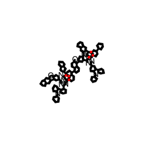 c1ccc(-c2ccc(-c3nc(-c4ccc5c(c4)c4ccccc4n5-c4ccccc4)nc(-c4cc5c(cc4-n4c6ccccc6c6cc7ccccc7cc64)oc4ccc6c(-c7cccc8c(-c9nc(-c%10cc%11c(cc%10-n%10c%12ccccc%12c%12cc%13ccccc%13cc%12%10)oc%10cc%12ccccc%12cc%10%11)nc(-c%10cccc%11c%10c%10ccccc%10n%11-c%10ccccc%10)n9)cccc78)cccc6c45)n3)cc2)cc1